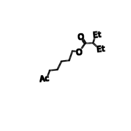 CCC(CC)C(=O)OCCCCCC(C)=O